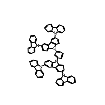 c1cc(-n2c3ccc(-n4c5ccccc5c5ccccc54)cc3c3cc(-n4c5ccccc5c5ccccc54)ccc32)cc(-n2c3ccc(-n4c5ccccc5c5ccccc54)cc3c3cc(-n4c5ccccc5c5ccccc54)ccc32)c1